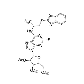 CC(=O)OC[C@H]1O[C@@H](n2cnc3c(N[C@H](C)CSc4nc5ccccc5s4)nc(F)nc32)[C@H](OC(C)=O)[C@@H]1OC(C)=O